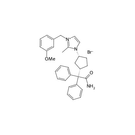 COc1cccc(C[n+]2ccn([C@@H]3CC[C@H](C(C(N)=O)(c4ccccc4)c4ccccc4)C3)c2C)c1.[Br-]